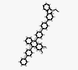 CCn1c2ccccc2c2cc(-c3ccc(-c4ccc(-c5c6ccccc6c(-c6ccc(-c7ccccc7)cc6)c6cc(C)c(C)cc56)cc4)cc3)ccc21